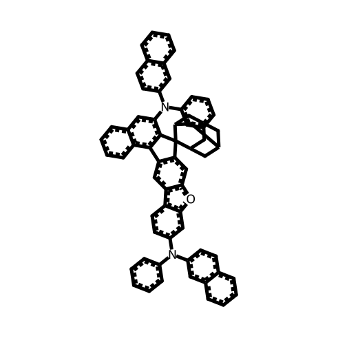 c1ccc(N(c2ccc3ccccc3c2)c2ccc3c(c2)oc2cc4c(cc23)-c2c(c(N(c3ccccc3)c3ccc5ccccc5c3)cc3ccccc23)C42C3CC4CC(C3)CC2C4)cc1